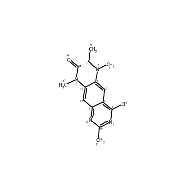 CCN(C)c1cc2c(Cl)nc(C)nc2cc1N(C)C=O